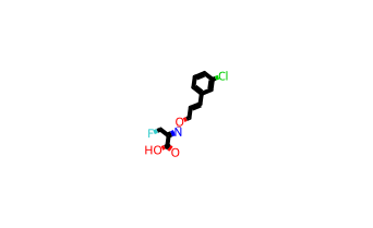 O=C(O)C(CF)=NOC/C=C/c1cccc(Cl)c1